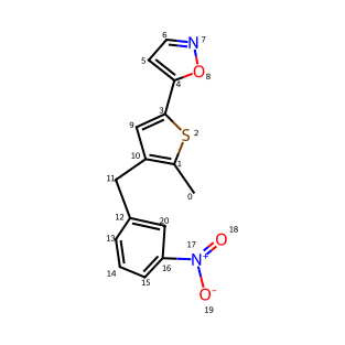 Cc1sc(-c2ccno2)cc1Cc1cccc([N+](=O)[O-])c1